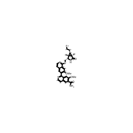 COc1cc2c(-c3cc4ccnc(OC[C@H]5NC(=O)[C@@H]6[C@H](CCF)[C@H]65)c4cc3OC)nccc2cc1C(N)=O